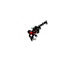 CC[C@]1(O)CC2CN(CCc3c([nH]c4ccccc34)[C@@](COC=O)(c3cc4c(cc3OC)N(C)[C@H]3C(O)(C(=O)NNC(=O)OCCSSCCC(C)=O)[C@H](O)[C@]5(CC)C=CCN6CC[C@]43[C@@H]65)C2)C1